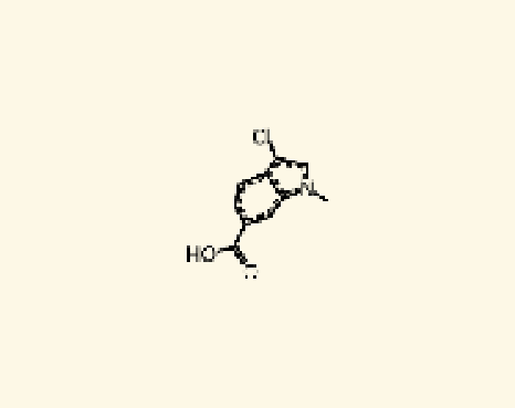 Cn1cc(Cl)c2ccc(C(=O)O)cc21